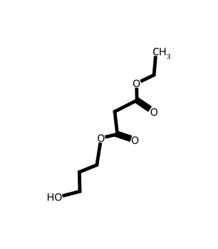 CCOC(=O)CC(=O)OCCCO